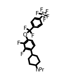 CCCC1CCC(c2ccc(OC(F)(F)c3ccc(S(F)(F)(F)(F)F)cc3)c(F)c2F)CC1